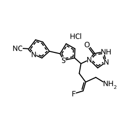 Cl.N#Cc1ccc(-c2ccc(C(C/C(=C\F)CN)n3cn[nH]c3=O)s2)cn1